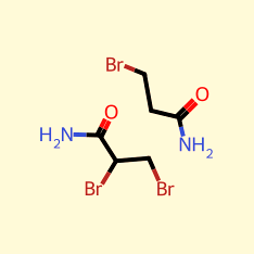 NC(=O)C(Br)CBr.NC(=O)CCBr